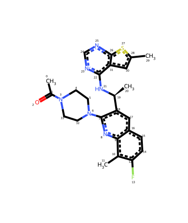 CC(=O)N1CCN(c2nc3c(C)c(F)ccc3cc2[C@H](C)Nc2ncnc3sc(C)cc23)CC1